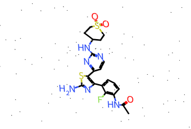 CC(=O)Nc1cccc(-c2nc(N)sc2-c2ccnc(NC3CCS(=O)(=O)CC3)n2)c1F